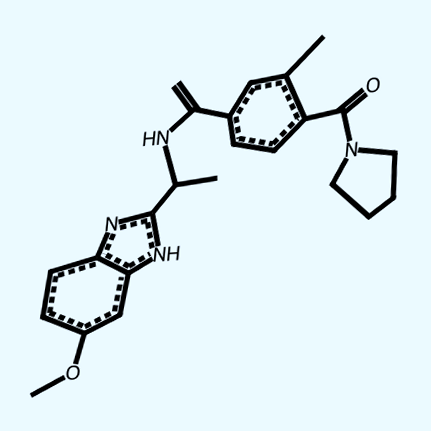 C=C(NC(C)c1nc2ccc(OC)cc2[nH]1)c1ccc(C(=O)N2CCCC2)c(C)c1